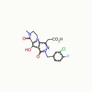 CN1CCn2c(c(O)c3c(=O)n(Cc4ccc(F)c(Cl)c4)nc(CC(=O)O)c32)C1=O